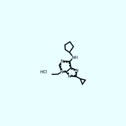 CCn1cnc(NC2CCCC2)c2nc(C3CC3)nc1-2.Cl